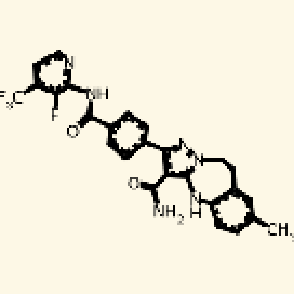 Cc1ccc2c(c1)CCn1nc(-c3ccc(C(=O)Nc4nccc(C(F)(F)F)c4F)cc3)c(C(N)=O)c1N2